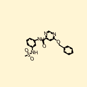 CS(=O)(=O)Nc1cccc(NC(=O)c2cc(OCc3ccccc3)ncn2)c1